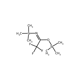 C[Si](C)(C)/N=C(/O[Si](C)(C)C)C(F)(F)F